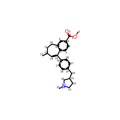 COC(=O)c1ccc2c(c1)CCC(C)C=C2c1ccc(CC2CCN(C)C2)cc1